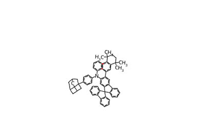 CC1(C)CCC(C)(C)c2cc(-c3cc4c(cc3N(c3ccccc3)c3ccc(C56CC7CC8CC(C5)C86C7)cc3)C3(c5ccccc5-c5ccccc53)c3ccccc3-4)ccc21